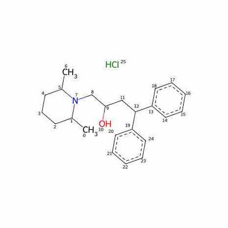 CC1CCCC(C)N1CC(O)CC(c1ccccc1)c1ccccc1.Cl